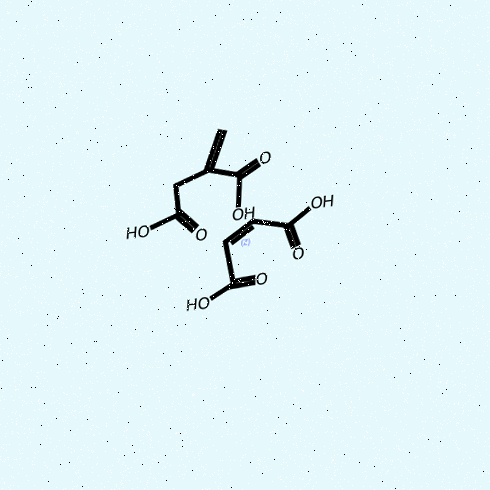 C=C(CC(=O)O)C(=O)O.O=C(O)/C=C\C(=O)O